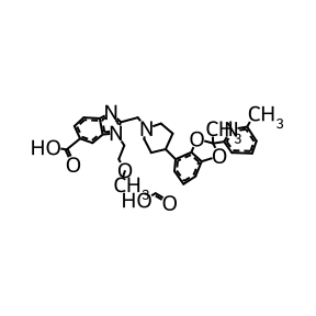 COCCn1c(CN2CCC(c3cccc4c3OC(C)(c3cccc(C)n3)O4)CC2)nc2ccc(C(=O)O)cc21.O=CO